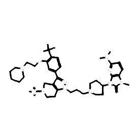 CN(C)c1ccc2c(n1)n(C1CCN(CCCn3nc(-c4ccc(C(F)(F)F)c(SCCN5CCCCC5)c4)c4c3CCN(S(C)(=O)=O)C4)CC1)c(=O)n2C